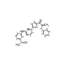 CC(O)c1cccc(Nc2nccc(-c3ccc(C(=O)N(C)Cc4ccccc4)s3)n2)c1